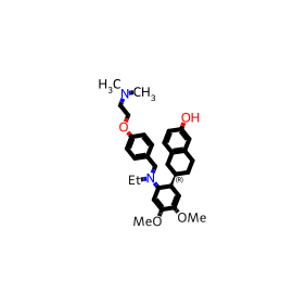 CCN(Cc1ccc(OCCN(C)C)cc1)C1C=C(OC)C(OC)=CC1[C@@H]1CCc2cc(O)ccc2C1